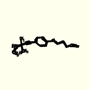 COCCCOc1ccc(C#CC(C)(C)NC(=O)O)cc1